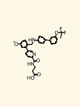 COc1ccc(CNc2ccc(-c3cccc(OC(F)(F)F)c3)cc2)c(-c2ccc(C(=O)NCCC(=O)O)nc2)c1